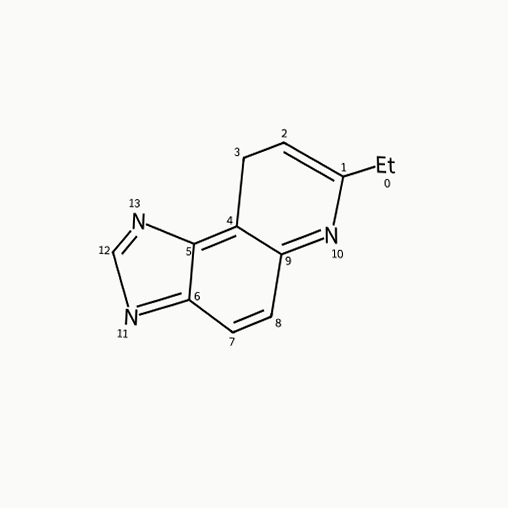 CCC1=CCc2c3c(ccc2=N1)=NC=N3